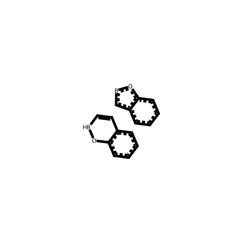 B1C=Cc2ccccc2O1.b1cc2ccccc2o1